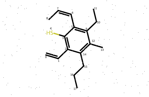 C=Cc1c(S)c(/C=C\C)c(CC)c(C)c1CCC